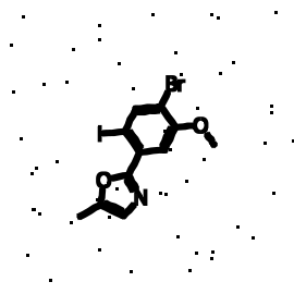 COc1cc(-c2ncc(C)o2)c(I)cc1Br